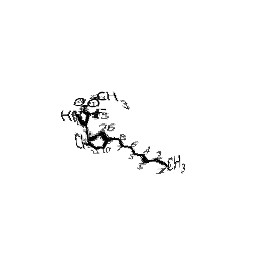 CCCCCCCCCc1ccc(Cl)c(-c2c[nH]c(C(=O)OCC)c2F)c1